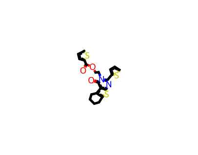 O=C(OCCn1c(-c2cccs2)nc2sc3c(c2c1=O)CCCC3)c1cccs1